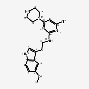 COc1ccc2[nH]cc(CCNc3nc(Cl)cc(N4CCNCC4)n3)c2c1